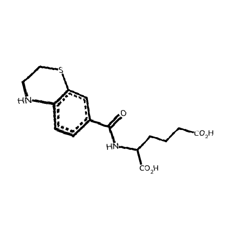 O=C(O)CCCC(NC(=O)c1ccc2c(c1)SCCN2)C(=O)O